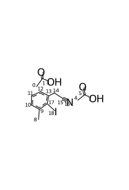 CC(=O)O.CC(=O)O.Cc1cccc(CC#N)c1I